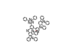 N#Cc1cc(-c2nc(-c3ccccc3)nc(-c3ccccc3)n2)cc(-c2cncc(N3c4ccccc4C4c5c(c6ccccc6n5-c5ccccc5)C=CC43)c2)c1-n1c2ccccc2c2c1ccc1c3ccccc3n(-c3ccccc3)c12